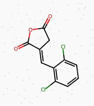 O=C1CC(=Cc2c(Cl)cccc2Cl)C(=O)O1